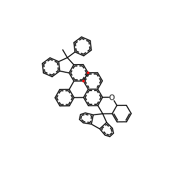 CC1(c2ccccc2)c2ccccc2-c2c(-c3ccccc3-c3cc4c(c5ccccc35)OC3CC=CC=C3C43c4ccccc4-c4ccccc43)cccc21